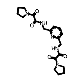 O=C(NCc1cccc(CNC(=O)C(=O)N2CCCC2)n1)C(=O)N1CCCC1